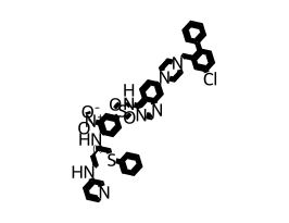 O=[N+]([O-])c1cc(S(=O)(=O)Nc2ncnc3cc(N4CCN(Cc5cc(Cl)ccc5-c5ccccc5)CC4)ccc23)ccc1N[C@H](CCNc1cccnc1)CSc1ccccc1